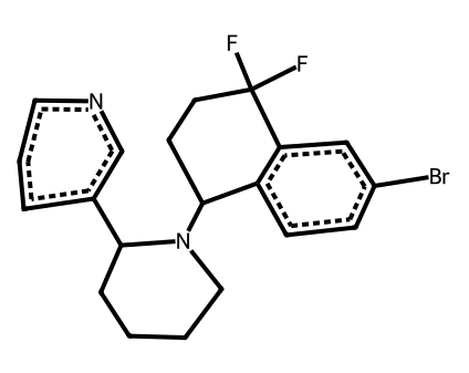 FC1(F)CCC(N2CCCCC2c2cccnc2)c2ccc(Br)cc21